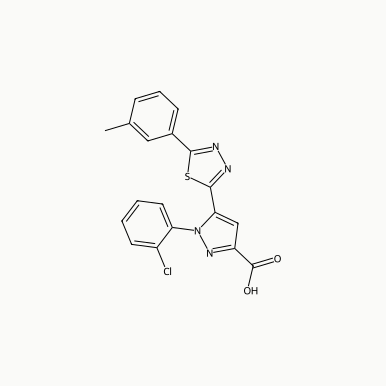 Cc1cccc(-c2nnc(-c3cc(C(=O)O)nn3-c3ccccc3Cl)s2)c1